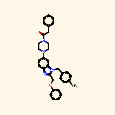 O=C(Cc1ccccc1)N1CCN(c2ccc3nc(COc4ccccc4)n(Cc4ccc(C(F)(F)F)cc4)c3c2)CC1